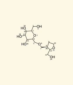 OCC1OC(COC[C@H]2CCOC2CO)C(O)C(O)C1O